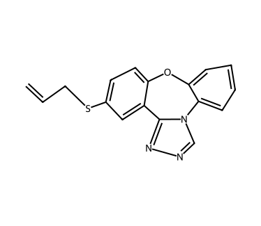 C=CCSc1ccc2c(c1)-c1nncn1-c1ccccc1O2